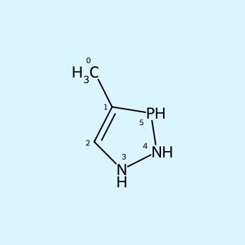 CC1=CNNP1